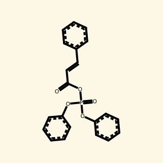 O=C(C=Cc1ccccc1)OP(=O)(Oc1ccccc1)Oc1ccccc1